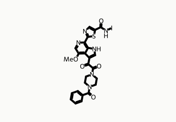 COc1cnc(-c2ncc(C(=O)NI)s2)c2[nH]cc(C(=O)C(=O)N3CCN(C(=O)c4ccccc4)CC3)c12